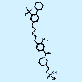 Nc1cc(C(=O)N2CCCC(COP(=O)(O)O)C2)ccc1C/C=N/OCc1ccc(C2CCCCC2)c(C(F)(F)F)c1